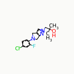 CC(C)(O)Cn1cc2c(n1)CN(c1ccc(Cl)cc1F)C2